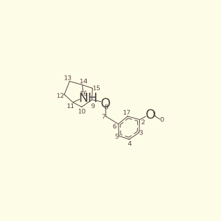 COc1cccc(COC2CC3CCC(C2)N3)c1